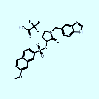 COc1ccc2ccc(S(=O)(=O)N[C@H]3CCN(Cc4ccc5[nH]cnc5c4)C3=O)cc2c1.O=C(O)C(F)(F)F